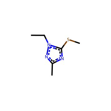 CCn1nc(C)nc1SC